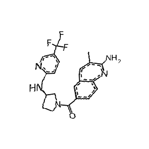 Cc1cc2cc(C(=O)N3CCC(Nc4ccc(C(F)(F)F)cn4)C3)ccc2nc1N